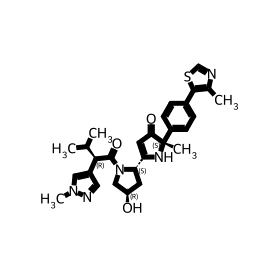 Cc1ncsc1-c1ccc([C@]2(C)NC([C@@H]3C[C@@H](O)CN3C(=O)[C@@H](c3cnn(C)c3)C(C)C)=CC2=O)cc1